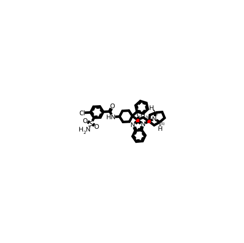 Cc1nc2ccccc2n1C1C[C@H]2CC[C@@H](C1)N2CCCC1(c2ccccc2)CCC(NC(=O)c2ccc(Cl)c(S(N)(=O)=O)c2)CC1